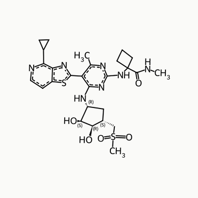 CNC(=O)C1(Nc2nc(C)c(-c3nc4c(C5CC5)nccc4s3)c(N[C@@H]3C[C@H](CS(C)(=O)=O)[C@@H](O)[C@H]3O)n2)CCC1